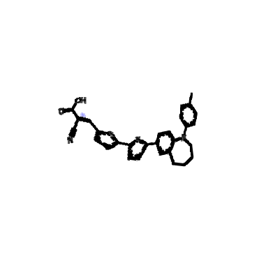 Cc1ccc(N2CCCCc3cc(-c4ccc(-c5ccc(/C=C(\C#N)C(=O)O)s5)s4)ccc32)cc1